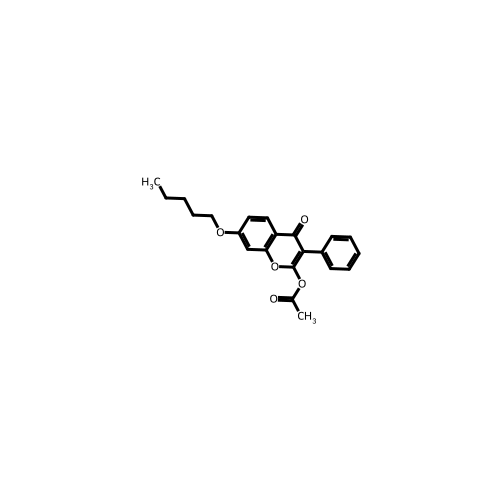 CCCCCOc1ccc2c(=O)c(-c3ccccc3)c(OC(C)=O)oc2c1